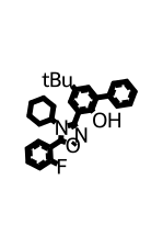 CC(C)(C)c1cc(C2=NOC(c3ccccc3F)N2C2CCCCC2)c(O)c(-c2ccccc2)c1